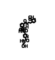 COc1ccccc1CCNC(=O)c1cccc(S(=O)(=O)NC(=O)c2ccc(C(=O)NCCO)nc2)c1